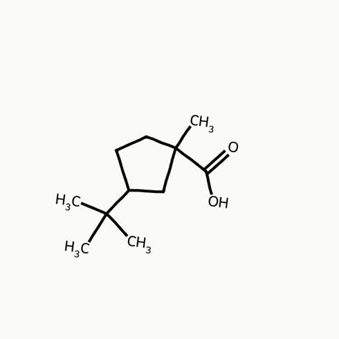 CC1(C(=O)O)CCC(C(C)(C)C)C1